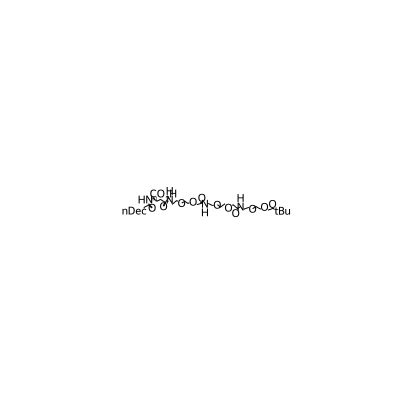 CCCCCCCCCCCC(=O)N[C@@H](CCC(=O)NCCOCCOCC(=O)NCCOCCOCC(=O)NCCOCCOCC(=O)C(C)(C)C)C(=O)O